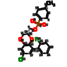 Cc1ccc(S(=O)(=O)OC[C@H]2COc3cc(Cl)cc(-c4ccccc4F)c3O2)cc1